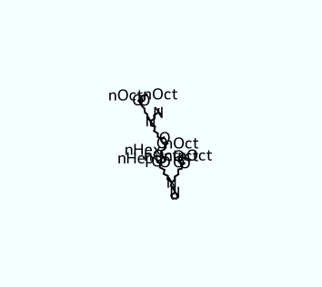 CCCCCCCCC(CCCCCCCC)OC(=O)CCCCCN(CCCCCC(=O)OC(CCCCCCCC)CC(CCCCCC)C(CCCCCCC)C(CCCCCCCC)OC(=O)CCCCCN(CCCCCC(=O)OC(CCCCCCCC)CCCCCCCC)CCN1CCCC1)CCN(C)C